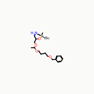 CC(OCCCCOCc1ccccc1)OCC(CN)O[Si](C)(C)C(C)(C)C